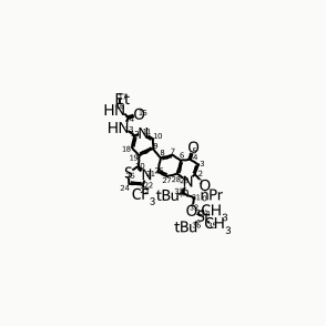 [CH2]CCOc1cc(=O)c2cc(-c3cnc(NC(=O)NCC)cc3-c3nc(C(F)(F)F)cs3)ccc2n1[C@H](CO[Si](C)(C)C(C)(C)C)C(C)(C)C